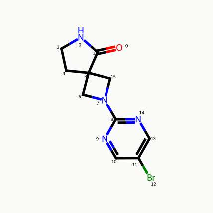 O=C1NCCC12CN(c1ncc(Br)cn1)C2